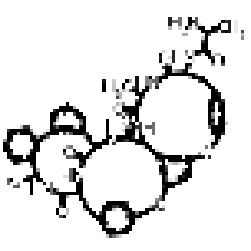 CC(=O)C1NC(=O)C2Cc3ccc(cc3)Oc3cc4cc(c3)C(NC(=O)C(C)NC(=O)C(NC(=O)C(C)N)Cc3ccc(cc3)O4)C(=O)NC(C(=O)N2)c2cccc(c2)-c2ccccc21